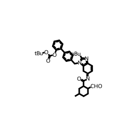 CCCCc1nc2c(n1Cc1ccc(-c3ccccc3OC(=O)OC(C)(C)C)cc1)CC(=NC(=O)C1CC(C)CCC1C=O)C=C2